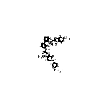 CN1CCc2c(nc(C(=O)Nc3cccc(-c4cccc(NC(=O)c5nc6c(n5C)CCN(C[C@H]5CC[C@H](C(=O)O)CC5)C6)c4Cl)c3Cl)n2C)C1